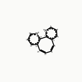 C1=C\c2cccnc2-c2ncccc2\C=C/1